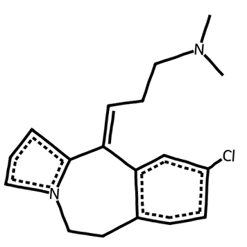 CN(C)CC/C=C1\c2cc(Cl)ccc2CCn2cccc21